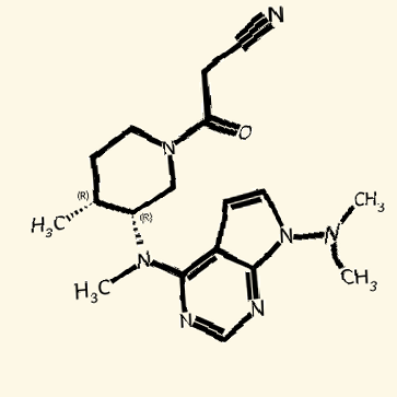 C[C@@H]1CCN(C(=O)CC#N)C[C@@H]1N(C)c1ncnc2c1ccn2N(C)C